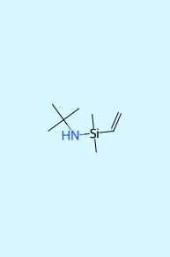 C=C[Si](C)(C)NC(C)(C)C